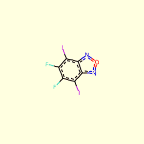 Fc1c(F)c(I)c2nonc2c1I